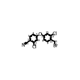 N#Cc1ccc(Oc2ccc(CBr)c(Cl)c2)cc1Cl